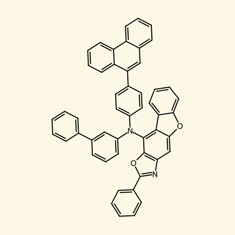 c1ccc(-c2cccc(N(c3ccc(-c4cc5ccccc5c5ccccc45)cc3)c3c4oc(-c5ccccc5)nc4cc4oc5ccccc5c34)c2)cc1